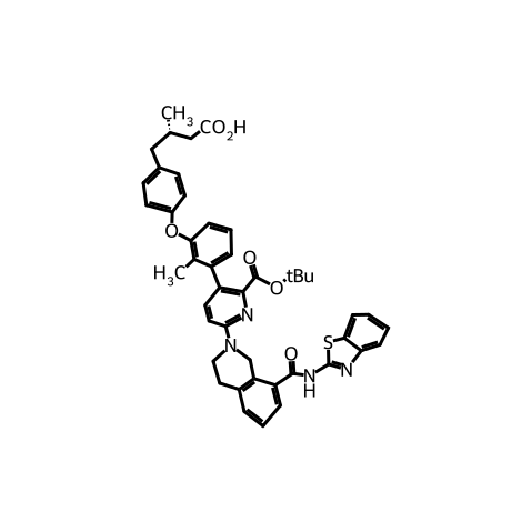 Cc1c(Oc2ccc(C[C@H](C)CC(=O)O)cc2)cccc1-c1ccc(N2CCc3cccc(C(=O)Nc4nc5ccccc5s4)c3C2)nc1C(=O)OC(C)(C)C